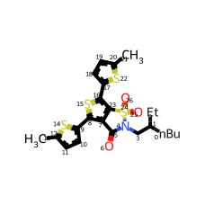 CCCCC(CC)CN1C(=O)c2c(-c3ccc(C)s3)sc(-c3ccc(C)s3)c2S1(=O)=O